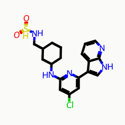 O=[SH](=O)NCC1CCCC(Nc2cc(Cl)cc(-c3c[nH]c4ncccc34)n2)C1